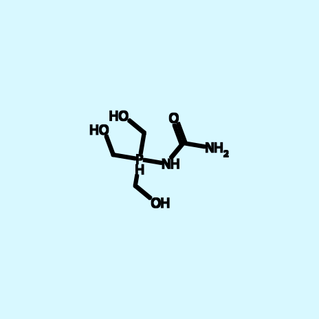 NC(=O)N[PH](CO)(CO)CO